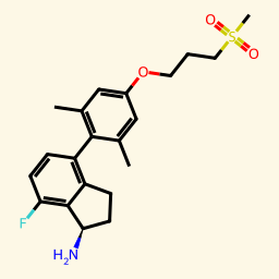 Cc1cc(OCCCS(C)(=O)=O)cc(C)c1-c1ccc(F)c2c1CC[C@H]2N